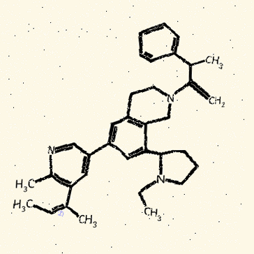 C=C(C(C)c1ccccc1)N1CCc2cc(-c3cnc(C)c(/C(C)=C\C)c3)cc(C3CCCN3CC)c2C1